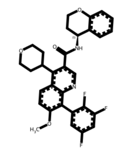 COc1ccc2c(C3CCOCC3)c(C(=O)N[C@H]3CCOc4ccccc43)cnc2c1-c1cc(F)cc(F)c1F